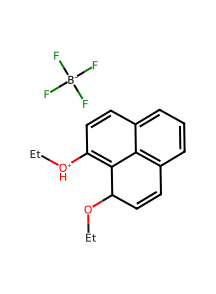 CCOC1C=Cc2cccc3ccc([OH+]CC)c1c23.F[B-](F)(F)F